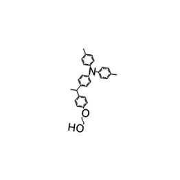 Cc1ccc(N(c2ccc(C)cc2)c2ccc(C(C)c3ccc(OCCO)cc3)cc2)cc1